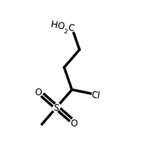 CS(=O)(=O)C(Cl)CCC(=O)O